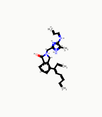 C=C/C=C\C=C(/C=C)c1cccc2c1CN(Cc1nc(/N=C\C=C)c(C)[nH]1)C2=O